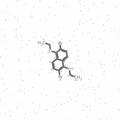 CCOc1c(Br)ccc2c(OCC)c(Br)ccc12